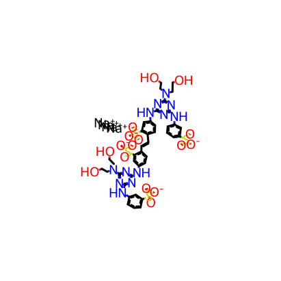 O=S(=O)([O-])c1cccc(Nc2nc(Nc3ccc(/C=C/c4ccc(Nc5nc(Nc6cccc(S(=O)(=O)[O-])c6)nc(N(CCO)CCO)n5)cc4S(=O)(=O)[O-])c(S(=O)(=O)[O-])c3)nc(N(CCO)CCO)n2)c1.[Na+].[Na+].[Na+].[Na+]